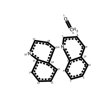 C=O.c1ccc2ncccc2c1.c1ccc2ncccc2c1